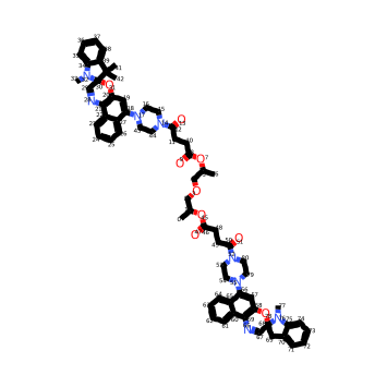 CC(COCC(C)OC(=O)CCC(=O)N1CCN(c2cc3c(c4ccccc24)N=CC2(O3)N(C)c3ccccc3C2(C)C)CC1)OC(=O)CCC(=O)N1CCN(c2cc3c(c4ccccc24)N=CC2(Cc4ccccc4N2C)O3)CC1